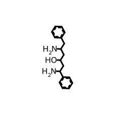 NC(Cc1ccccc1)CC(O)CC(N)c1ccccc1